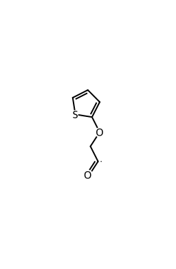 O=[C]COc1cccs1